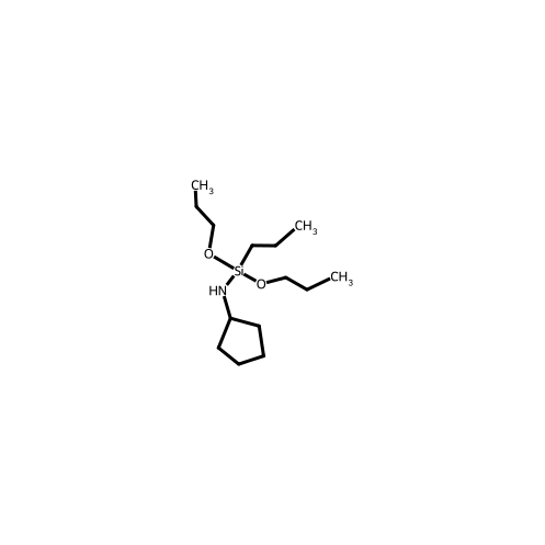 CCCO[Si](CCC)(NC1CCCC1)OCCC